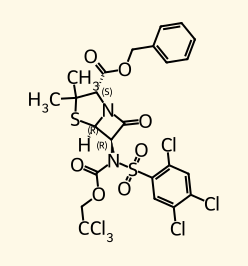 CC1(C)S[C@@H]2[C@H](N(C(=O)OCC(Cl)(Cl)Cl)S(=O)(=O)c3cc(Cl)c(Cl)cc3Cl)C(=O)N2[C@H]1C(=O)OCc1ccccc1